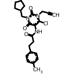 C#CCn1c(Cl)c(NC(=O)CCc2ccc(C)cc2)c(=O)n(CC2CCCC2)c1=O